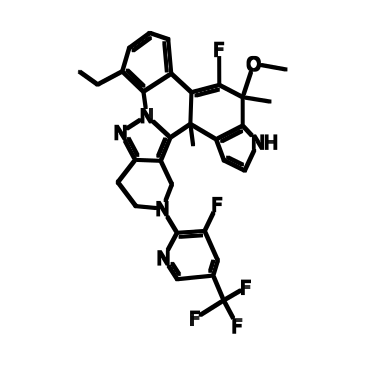 CCc1cccc2c1-n1nc3c(c1C1(C)C2=C(F)C(C)(OC)c2[nH]ccc21)CN(c1ncc(C(F)(F)F)cc1F)CC3